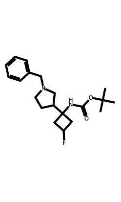 CC(C)(C)OC(=O)NC1(C2CCN(Cc3ccccc3)C2)CC(F)C1